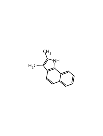 Cc1[nH]c2c(ccc3ccccc32)c1C